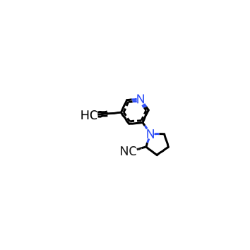 C#Cc1cncc(N2CCCC2C#N)c1